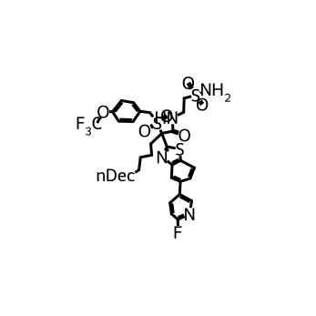 CCCCCCCCCCCCCCC(C(=O)NCCS(N)(=O)=O)(c1nc2cc(-c3ccc(F)nc3)ccc2s1)S(=O)(=O)Cc1ccc(OC(F)(F)F)cc1